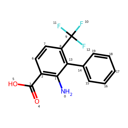 Nc1c(C(=O)O)ccc(C(F)(F)F)c1-c1ccccc1